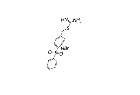 Br.N=C(N)SCc1ccc(S(=O)(=O)c2ccccc2)cc1